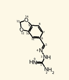 N=C(N)NN=Cc1ccc2c(c1)OCO2